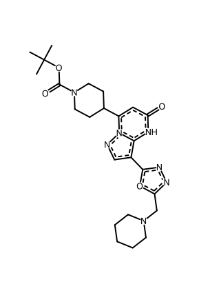 CC(C)(C)OC(=O)N1CCC(c2cc(=O)[nH]c3c(-c4nnc(CN5CCCCC5)o4)cnn23)CC1